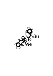 CCC(C)C(C(=O)Nc1ncc(Cc2ccccc2OC)o1)c1ccccc1